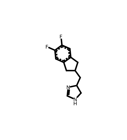 Fc1cc2c(cc1F)CC(CC1CNC=N1)C2